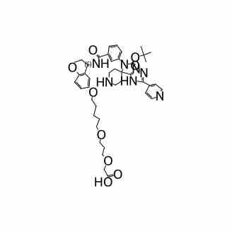 CC(C)(C)OC(=O)N(c1cccc(C(=O)N[C@H]2CCOc3ccc(OCCCCCOCCCOCC(=O)O)cc32)c1)C1(c2nnc(-c3ccncc3)[nH]2)CCNCC1